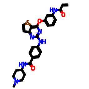 C=CC(=O)Nc1cccc(Oc2nc(Nc3ccc(C(=O)NC4CCN(C)CC4)cc3)nc3ccsc23)c1